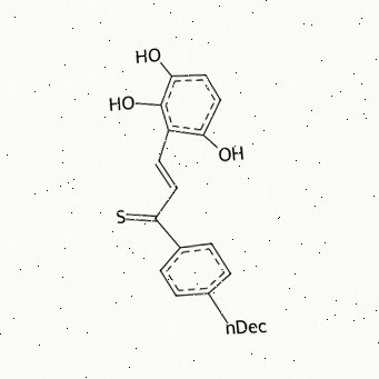 CCCCCCCCCCc1ccc(C(=S)C=Cc2c(O)ccc(O)c2O)cc1